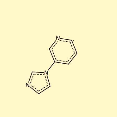 [c]1ccc(-n2ccnc2)cn1